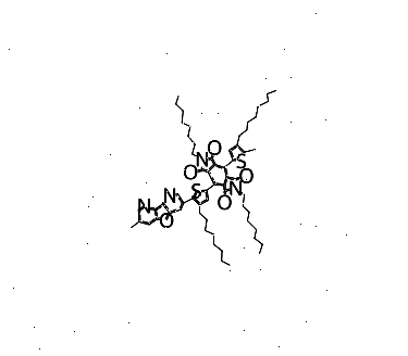 CCCCCCCCc1cc(-c2c3c(=O)n(CCCCCCCC)c(=O)c3c(-c3cc(CCCCCCCC)c(-c4cnc5c(c4)oc4cc(C)cnc45)s3)c3c(=O)n(CCCCCCCC)c(=O)c23)sc1C